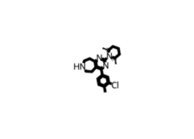 Cc1ccc(-c2nc(N3[C@H](C)CCC[C@@H]3C)nc3c2CCNCC3)cc1Cl